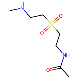 CNCCS(=O)(=O)CCNC(C)=O